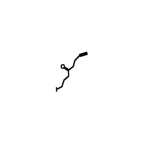 C#CCCC(=O)CCCI